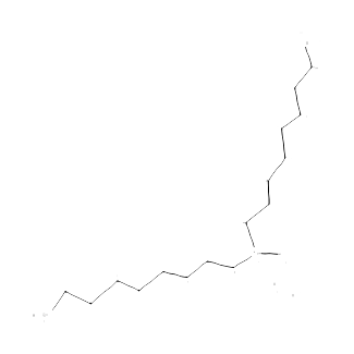 CCCCCCCCCCCCCCCCCCN(CC)CCCCCCCCCCCCCCCCCC.Cl.Cl